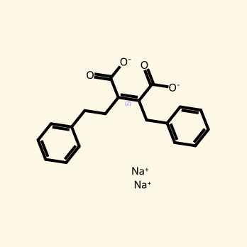 O=C([O-])/C(CCc1ccccc1)=C(/Cc1ccccc1)C(=O)[O-].[Na+].[Na+]